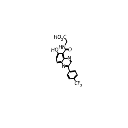 O=C(O)CNC(=O)c1c(O)ccc2nc(-c3ccc(C(F)(F)F)cc3)cnc12